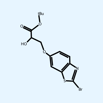 CC(C)(C)OC(=O)C(O)COc1ccc2nc(Br)sc2c1